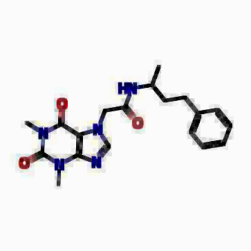 CC(CCc1ccccc1)NC(=O)Cn1cnc2c1c(=O)n(C)c(=O)n2C